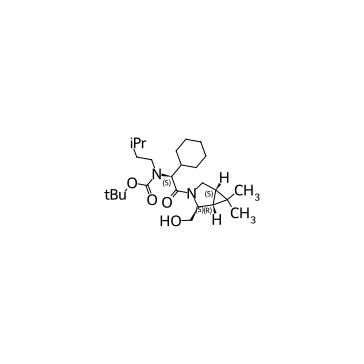 CC(C)CCN(C(=O)OC(C)(C)C)[C@H](C(=O)N1C[C@H]2[C@@H]([C@H]1CO)C2(C)C)C1CCCCC1